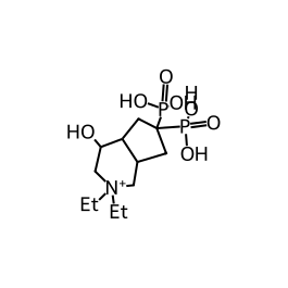 CC[N+]1(CC)CC(O)C2CC(P(=O)(O)O)(P(=O)(O)O)CC2C1